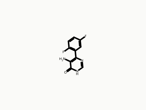 Nc1c(-c2cc(F)ccc2F)nc[nH]c1=O